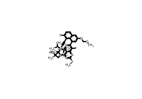 COCOc1cc(-c2nc(C)c3c(N4CC(C)(O)C4)nc(SC)nc3c2F)c2c(C#C[Si](C(C)C)(C(C)C)C(C)C)c(F)ccc2c1